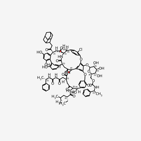 CC[C@H](CC(C)C)C(=O)N[C@H]1C(=O)C[C@@H](CC(=O)NC(=O)N[C@@H](C)c2ccccc2)C(=O)N[C@H]2C(=O)C[C@@H]3C(=O)N[C@H](C(=O)N[C@H](C(=O)CC4C5CC6CC(C5)CC4C6)c4cc(O)cc(O)c4-c4cc3ccc4O)[C@H](O)c3ccc(c(Cl)c3)Oc3cc2cc(c3OC2O[C@H](COC(=O)N[C@@H](C)c3ccccc3)[C@@H](O)[C@H](O)[C@H]2O)Oc2ccc(cc2Cl)[C@H]1O